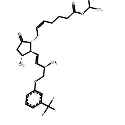 CC(C)OC(=O)CCC/C=C\C[C@H]1C(=O)C[C@@H](C)[C@@H]1/C=C/[C@@H](C)COc1cccc(C(F)(F)F)c1